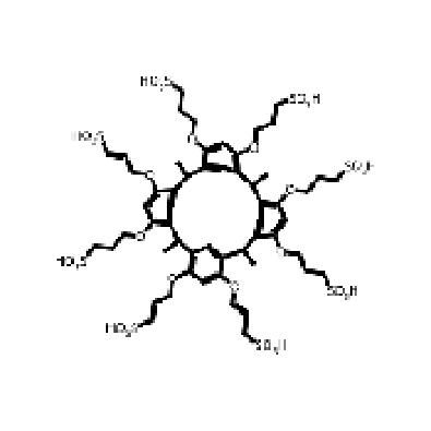 CC1c2cc(c(OC/C=C/S(=O)(=O)O)cc2O/C=C/CS(=O)(=O)O)C(C)c2cc(c(OC/C=C/S(=O)(=O)O)cc2OCCCS(=O)(=O)O)C(C)c2cc(c(OCCCS(=O)(=O)O)cc2OCCCS(=O)(=O)O)C(C)c2cc1c(OCCCS(=O)(=O)O)cc2OCCCS(=O)(=O)O